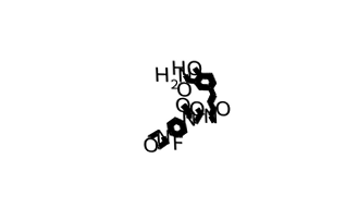 CN(C(=O)/C=C/c1ccc(O)c(C(N)=O)c1)[C@@H]1CN(c2ccc(N3CCOCC3)c(F)c2)C(=O)O1